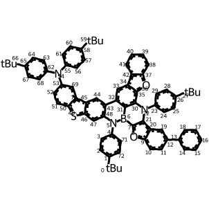 CC(C)(C)c1ccc(N2B3c4oc5ccc(-c6ccccc6)cc5c4N(c4ccc(C(C)(C)C)cc4)c4c3c(cc3c4oc4ccccc43)-c3cc4c(cc32)sc2ccc(N(c3ccc(C(C)(C)C)cc3)c3ccc(C(C)(C)C)cc3)cc24)cc1